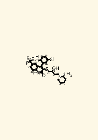 CC1CCCCN1CCC(O)CSc1c(-c2cc(Cl)ccc2O)c2cc(C(F)(F)F)ccc2[nH]c1=O